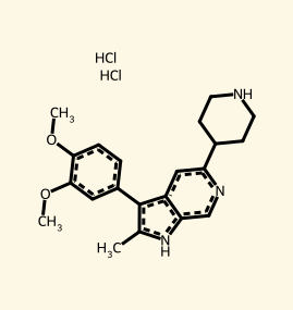 COc1ccc(-c2c(C)[nH]c3cnc(C4CCNCC4)cc23)cc1OC.Cl.Cl